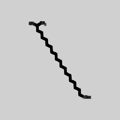 CCCCCCCCCCCCCCCCCCCCCCCCCCCCCC(C)N=O